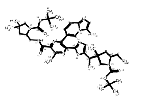 Cc1cnc2ccc(-c3nc(C(=O)NCC4CC(C)(C)CN4C(=O)OC(C)(C)C)c(N)nc3-c3ncc(C(C)C4(C)CC(CN)N(C(=O)OC(C)(C)C)C4)o3)cn12